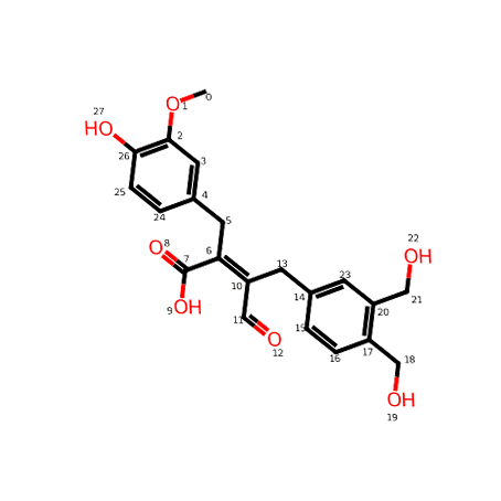 COc1cc(C/C(C(=O)O)=C(/C=O)Cc2ccc(CO)c(CO)c2)ccc1O